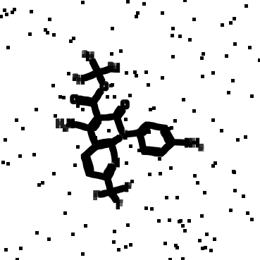 [2H]C([2H])([2H])OC(=O)c1c(N)c2ccc(C(F)(F)F)nc2n(-c2ccc(N)cc2)c1=O